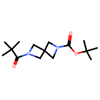 CC(C)(C)OC(=O)N1CC2(C1)CN(C(=O)C(C)(C)C)C2